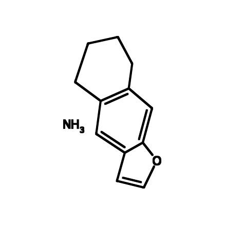 N.c1cc2cc3c(cc2o1)CCCC3